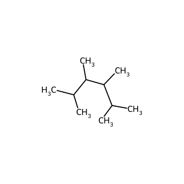 CC(C)C(C)C(C)C(C)C